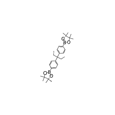 CCC(CC)(c1ccc(B2OC(C)(C)C(C)(C)O2)cc1)c1ccc(B2OC(C)(C)C(C)(C)O2)cc1